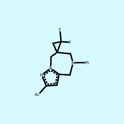 CC(=O)c1cc2n(n1)CC1(CN(C(C)C)C2)CC1(F)F